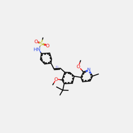 COc1nc(C)ccc1-c1cc(/C=C/c2ccc(NS(C)(=O)=O)cc2)c(OC)c(C(C)(C)C)c1